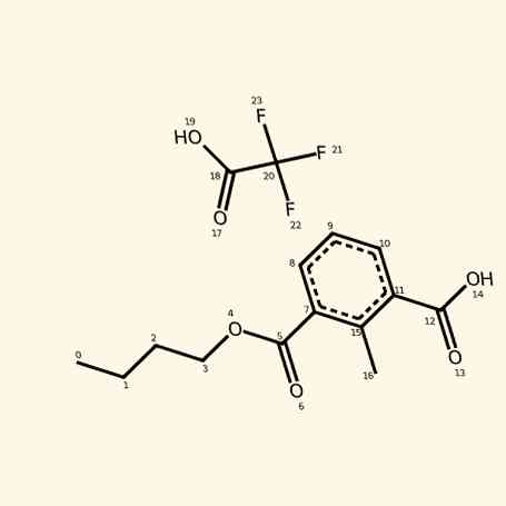 CCCCOC(=O)c1cccc(C(=O)O)c1C.O=C(O)C(F)(F)F